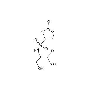 CCCCC(CC)C(CO)NS(=O)(=O)c1ccc(Cl)s1